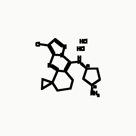 Cl.Cl.N[C@H]1CC[C@H](Nc2c3c(nc4c(Cl)cnn24)C2(CCC3)CC2)C1